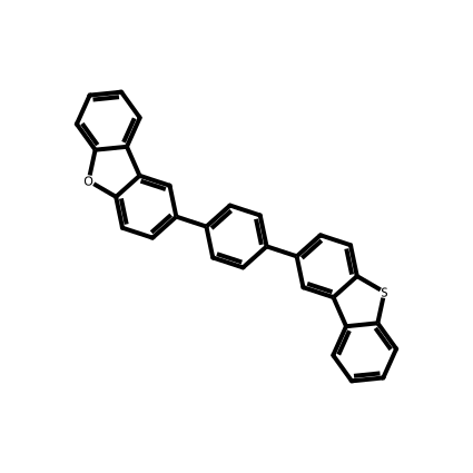 c1ccc2c(c1)oc1ccc(-c3ccc(-c4ccc5sc6ccccc6c5c4)cc3)cc12